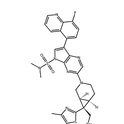 Cc1csc([C@@]2(CN)[C@@H]3CCN(c4cnc5c(-c6ccc(F)c7ncccc67)cn(S(=O)(=O)N(C)C)c5n4)C[C@@H]32)n1